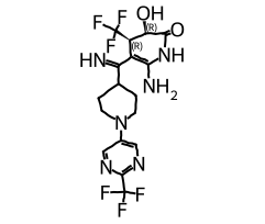 N=C(C1=C(N)NC(=O)[C@H](O)[C@@H]1C(F)(F)F)C1CCN(c2cnc(C(F)(F)F)nc2)CC1